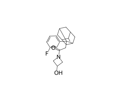 CC1C2CC3CC1CC(C2)C3(CC(=O)N1CC(O)C1)c1cccc(F)c1